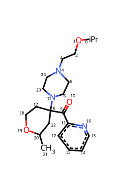 CC(C)OCCN1CCN(C2(C(=O)c3ccccn3)CCOC(C)C2)CC1